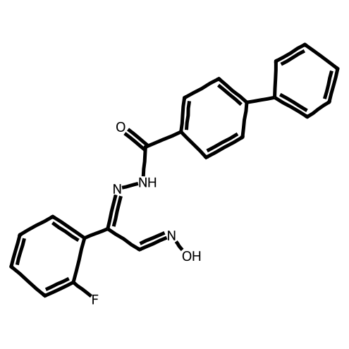 O=C(NN=C(C=NO)c1ccccc1F)c1ccc(-c2ccccc2)cc1